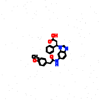 COc1ccc(CC(=O)Nc2ccc3ncn(C(CC(=O)O)c4ccccc4)c3c2)cc1